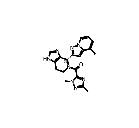 Cc1nc(C(=O)N2CCc3[nH]cnc3[C@@H]2c2cc3c(C)cccn3n2)n(C)n1